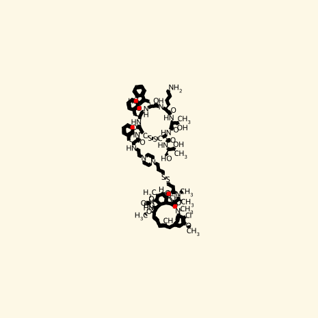 COc1cc2cc(c1Cl)N(C)C(=O)C[C@@]1(OC(=O)[C@H](C)N(C)C(=O)CCSSCCCN3CCN(CCN[C@H](Cc4ccccc4)C(=O)N[C@H]4CSSC[C@@H](C(=O)N[C@H](CO)[C@@H](C)O)NC(=O)[C@H]([C@@H](C)O)NC(=O)[C@H](CCCCN)NC(=O)[C@@H](Cc5c[nH]c6ccccc56)NC(=O)[C@H](Cc5ccccc5)NC4=O)CC3)C3[C@H](OC(=O)N[C@@]3(O)[C@H](OC)/C=C/C=C(\C)C2)[C@@H](C)[C@@H]2O[C@]21C